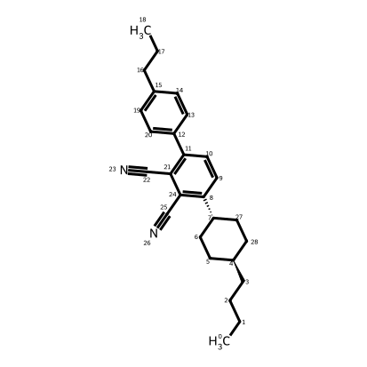 CCCC[C@H]1CC[C@H](c2ccc(-c3ccc(CCC)cc3)c(C#N)c2C#N)CC1